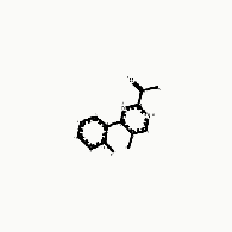 CC(=O)c1ncc(C)c(-c2ccccc2C)n1